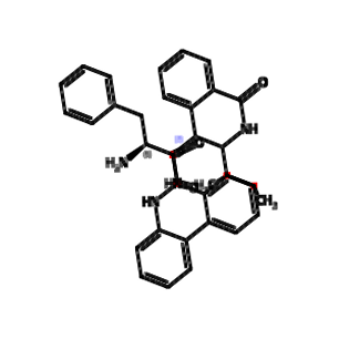 CCC(C)C1NC(=O)c2ccccc2/C1=C/C(=O)Nc1ccccc1-c1ccccc1NC(=O)[C@@H](N)Cc1ccccc1